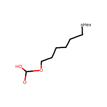 CCCCCCCCCCCCOC([O])O